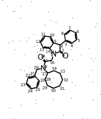 O=C1C(c2ccccc2)c2ccccc2N1CC(=O)N(Cc1ccccc1)C1CCCCCCC1